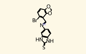 S=c1[nH]c2ccc(/N=C/c3c(Br)ccc4c3OCO4)cc2[nH]1